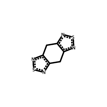 C1c2nsnc2Cc2nsnc21